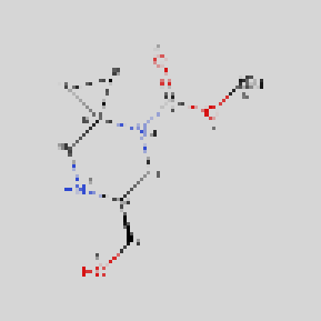 CC(C)(C)OC(=O)N1C[C@@H](CO)NCC12CC2